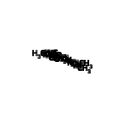 C=C(OC(=O)c1ccc(/N=N/c2ccc(N(C)C)cc2)cc1)N(C)S(=O)(=O)c1ccc(C)cc1